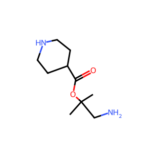 CC(C)(CN)OC(=O)C1CCNCC1